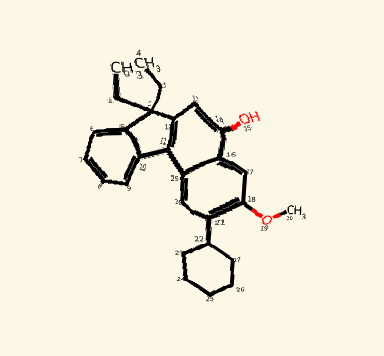 CCC1(CC)c2ccccc2-c2c1cc(O)c1cc(OC)c(C3CCCCC3)cc21